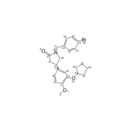 COc1ccc([C@H]2CC(=O)N(Cc3ccc(Br)cc3)C2)cc1OC1CCCC1